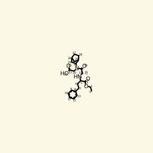 CCOC(=O)C(CCc1ccccc1)N[C@@H](C)C(=O)N(CC(=O)O)C1CC2CCC1C2